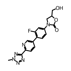 Cn1nnc(-c2ccc(-c3ccc(N4CC(CO)OC4=O)cc3F)cn2)n1